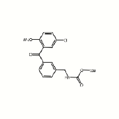 COc1ccc(Cl)cc1C(=O)c1cccc(CNC(=O)OC(C)(C)C)c1